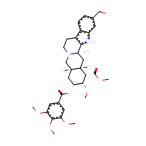 COC(=O)[C@H]1[C@H]2C[C@@H]3c4[nH]c5cc(CO)ccc5c4CCN3C[C@H]2C[C@@H](OC(=O)c2cc(OC)c(OC)c(OC)c2)[C@@H]1OC